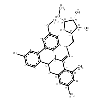 COc1cccc(-c2cc(F)ccc2C2Cc3nc(N)nc(C)c3C(=NOC[C@H]3O[C@H](OC)[C@H](O)[C@@H]3O)N2)n1